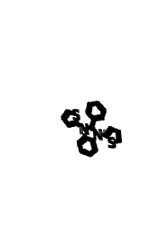 c1ccc(-c2n(-c3cccs3)c3ccccc3[n+]2-c2cccs2)cc1